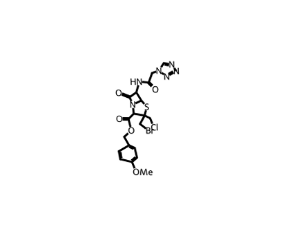 COc1ccc(COC(=O)C2N3C(=O)C(NC(=O)Cn4cnnn4)C3SC2(CCl)CBr)cc1